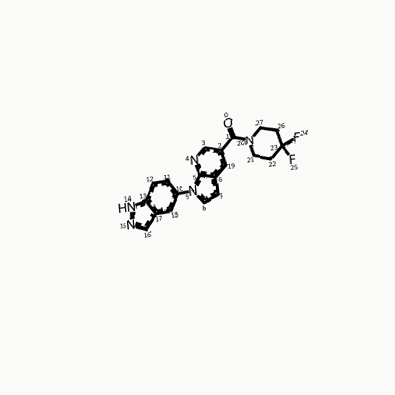 O=C(c1cnc2c(ccn2-c2ccc3[nH]ncc3c2)c1)N1CCC(F)(F)CC1